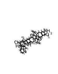 COc1cc2c(cc1N)CCN(C(C(=O)N(C)C)C(C(=O)N(C)C)N1CCc3cc(Nc4ncc(Cl)c(Nc5cccnc5OC)n4)c(OC)cc3CC1)CC2